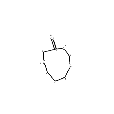 O=C1[CH]CCCCCCO1